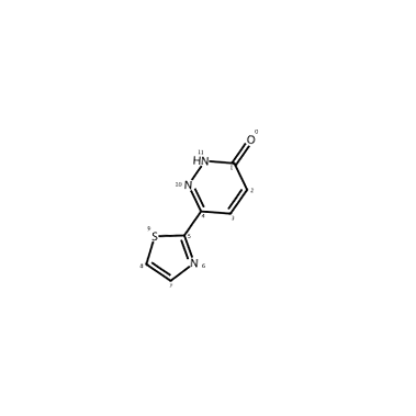 O=c1ccc(-c2nccs2)n[nH]1